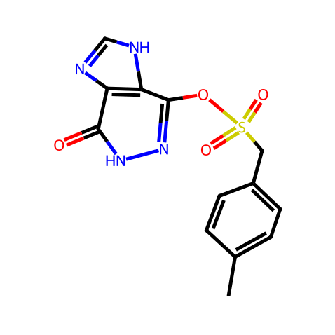 Cc1ccc(CS(=O)(=O)Oc2n[nH]c(=O)c3nc[nH]c23)cc1